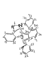 c1ccc(-c2ncn(-c3ccccc3)c2-c2oc(-c3ccccc3)c3ccccc23)cc1